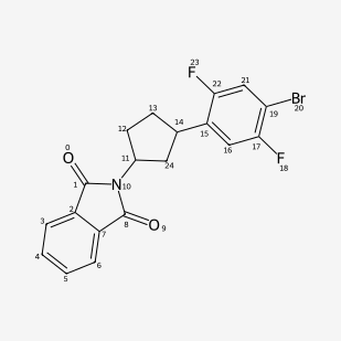 O=C1c2ccccc2C(=O)N1C1CCC(c2cc(F)c(Br)cc2F)C1